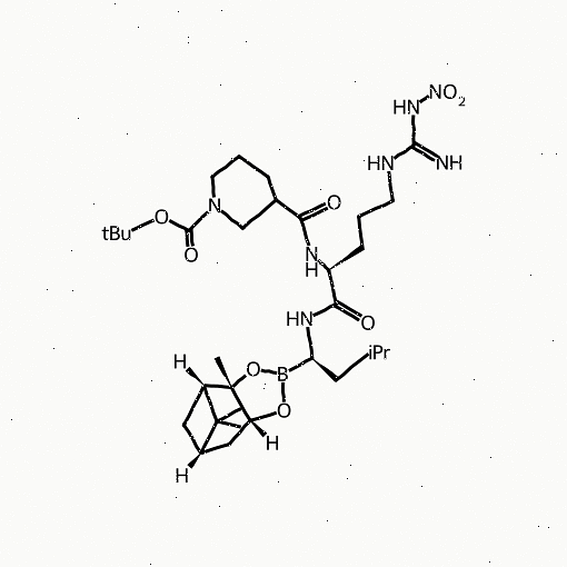 CC(C)C[C@H](NC(=O)[C@H](CCCNC(=N)N[N+](=O)[O-])NC(=O)C1CCCN(C(=O)OC(C)(C)C)C1)B1O[C@@H]2C[C@@H]3C[C@@H](C3(C)C)[C@]2(C)O1